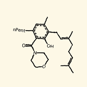 CCCCCc1cc(C)c(C/C=C(\C)CCC=C(C)C)c(O)c1C(=O)N1CCOCC1